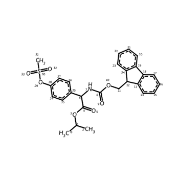 CC(C)OC(=O)C(NC(=O)OCC1c2ccccc2-c2ccccc21)c1ccc(OS(C)(=O)=O)cc1